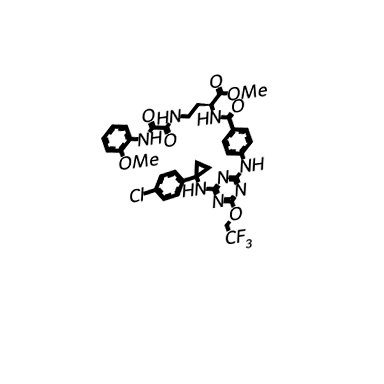 COC(=O)[C@H](CCNC(=O)C(=O)Nc1ccccc1OC)NC(=O)c1ccc(Nc2nc(NC3(c4ccc(Cl)cc4)CC3)nc(OCC(F)(F)F)n2)cc1